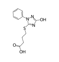 O=C(O)CCCSc1nc(O)nn1-c1ccccc1